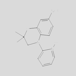 CC(=O)Nc1ccc2c(c1)OC(C)(C)CN2c1cccc[n+]1[O-]